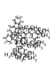 Cc1ccc2c(c1-c1cc([Si](C)(C)C)cc([Si](C)(C)C)c1)C=C(c1ccccc1)[CH]2[Zr]([Cl])([Cl])([c]1cccc2c1[SiH2]c1ccccc1-2)[CH]1C(c2ccccc2)=Cc2c1ccc(C)c2-c1cc([Si](C)(C)C)cc([Si](C)(C)C)c1